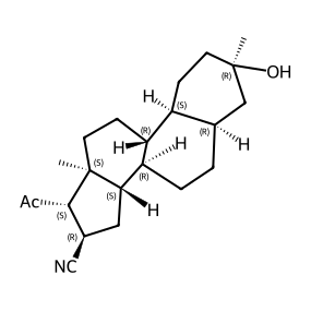 CC(=O)[C@H]1[C@H](C#N)C[C@H]2[C@@H]3CC[C@@H]4C[C@](C)(O)CC[C@@H]4[C@H]3CC[C@@]21C